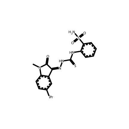 CC(C)c1ccc2c(c1)C(=NNC(=S)Nc1ccccc1S(N)(=O)=O)C(=O)N2C